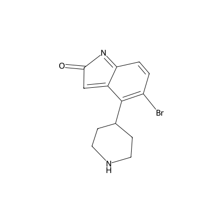 O=C1C=c2c(C3CCNCC3)c(Br)ccc2=N1